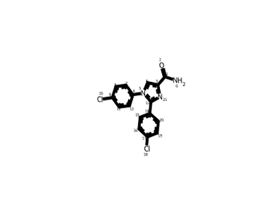 NC(=O)c1cn(-c2ccc(Cl)cc2)c(-c2ccc(Cl)cc2)n1